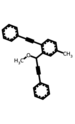 COC(C#Cc1ccccc1)c1cc(C)ccc1C#Cc1ccccc1